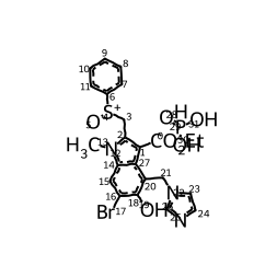 CCOC(=O)c1c(C[S+]([O-])c2ccccc2)n(C)c2cc(Br)c(O)c(Cn3ccnc3)c12.O=[PH](O)O